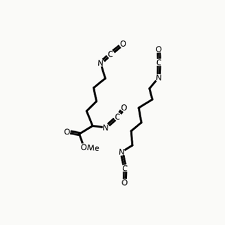 COC(=O)C(CCCCN=C=O)N=C=O.O=C=NCCCCCCN=C=O